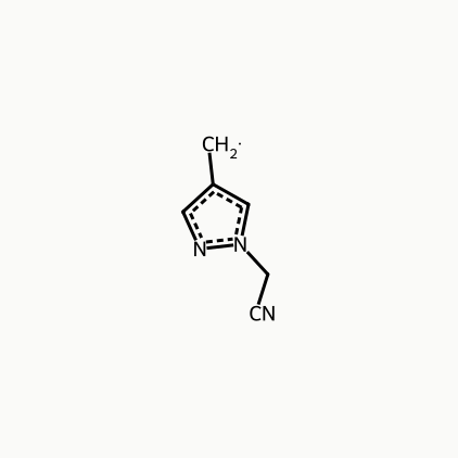 [CH2]c1cnn(CC#N)c1